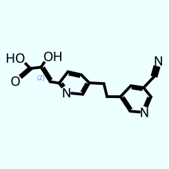 N#Cc1cncc(CCc2ccc(/C=C(\O)C(=O)O)nc2)c1